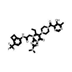 CCc1c(N2CCN(C(=O)c3ncnc(C)c3O)CC2)c(=O)n2nc(N(C)C)nc2n1CC(=O)Nc1ccc(C(F)(F)F)c2c1CC2